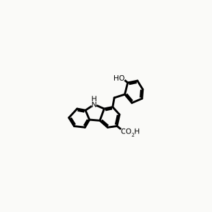 O=C(O)c1cc(Cc2ccccc2O)c2[nH]c3ccccc3c2c1